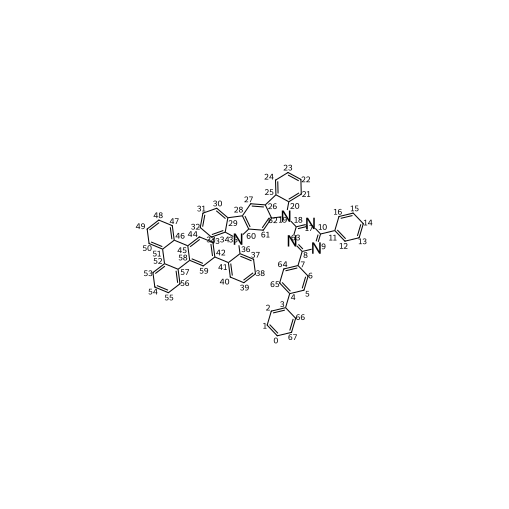 c1ccc(-c2ccc(-c3nc(-c4ccccc4)nc(-n4c5ccccc5c5cc6c7ccccc7n(-c7ccccc7-c7ccc8c9ccccc9c9ccccc9c8c7)c6cc54)n3)cc2)cc1